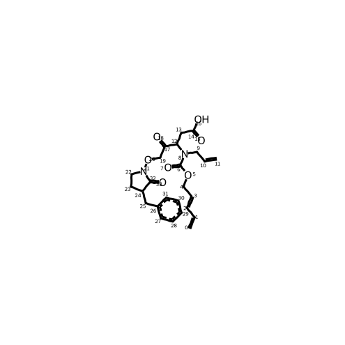 C=CC=CCOC(=O)N(CC=C)C(CC(=O)O)C(=O)CON1CCC(Cc2ccccc2)C1=O